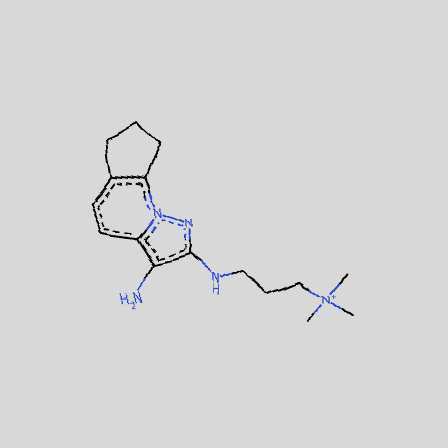 C[N+](C)(C)CCCNc1nn2c3c(ccc2c1N)CCC3